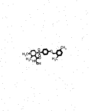 Cc1ccc(C)c(COc2ccc(S(=O)(=O)N3CCN(C)C(C)C3C(=O)NO)cc2)c1